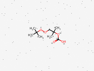 CC(C)(C)OOCC(C)(C)OC(=O)O